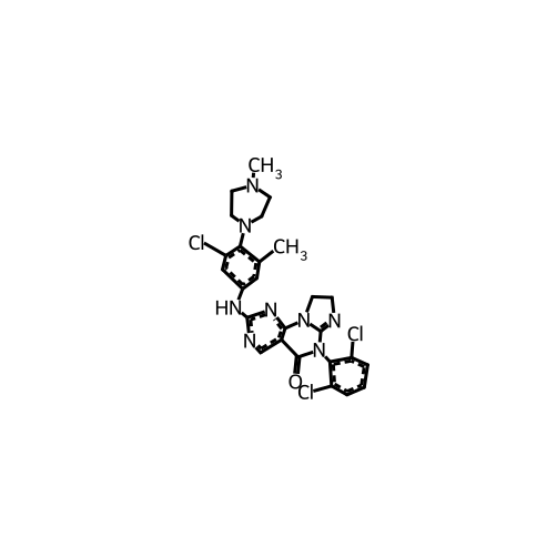 Cc1cc(Nc2ncc3c(n2)N2CCN=C2N(c2c(Cl)cccc2Cl)C3=O)cc(Cl)c1N1CCN(C)CC1